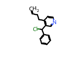 C=CCCc1ccncc1C(Cl)c1ccccc1